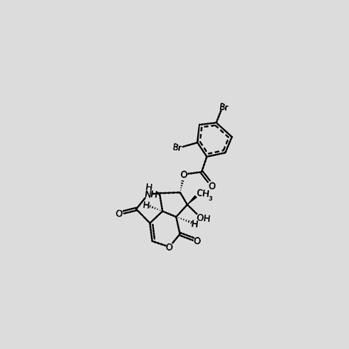 C[C@]1(O)[C@@H](OC(=O)c2ccc(Br)cc2Br)[C@H]2NC(=O)C3=COC(=O)[C@H]1[C@@H]32